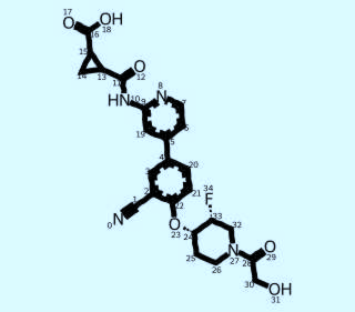 N#Cc1cc(-c2ccnc(NC(=O)C3CC3C(=O)O)c2)ccc1O[C@H]1CCN(C(=O)CO)C[C@H]1F